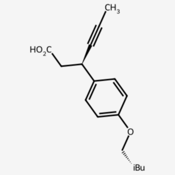 CC#C[C@H](CC(=O)O)c1ccc(OC[C@@H](C)CC)cc1